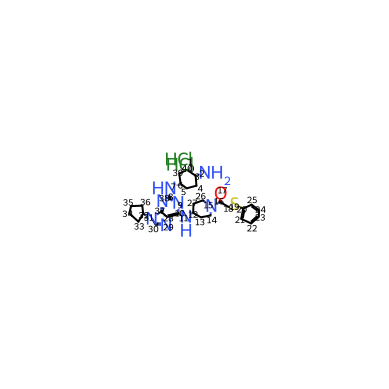 Cl.Cl.N[C@H]1CC[C@H](Nc2nc(NC3CCN(C(=O)CSc4ccccc4)CC3)c3ncn(C4CCCC4)c3n2)CC1